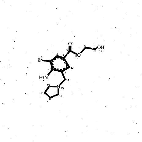 Nc1c(Br)cc(C(=O)OCCO)cc1CN1CCCC1